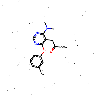 COC(=O)Cc1c(Oc2cccc(C(C)=O)c2)ncnc1N(C)C